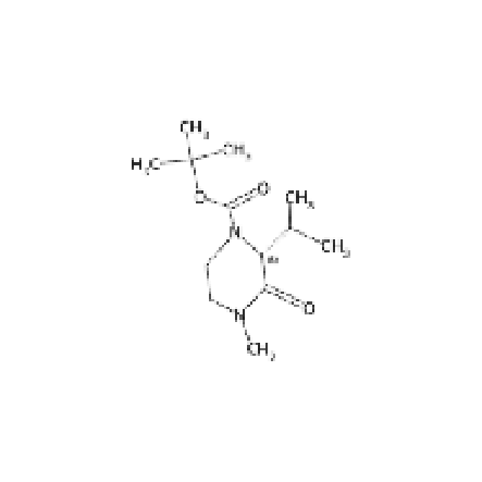 CC(C)[C@@H]1C(=O)N(C)CCN1C(=O)OC(C)(C)C